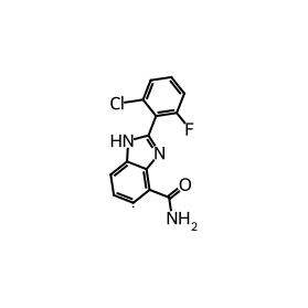 NC(=O)c1[c]ccc2[nH]c(-c3c(F)cccc3Cl)nc12